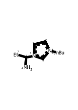 CCCC[n+]1ccn(C(N)CC)c1